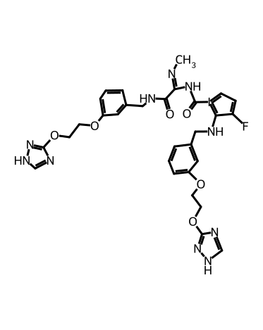 C/N=C(\NC(=O)I1=CC=C(F)C=1NCc1cccc(OCCOc2nc[nH]n2)c1)C(=O)NCc1cccc(OCCOc2nc[nH]n2)c1